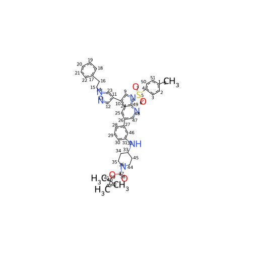 Cc1ccc(S(=O)(=O)n2cc(-c3cnn(CCc4ccccc4)c3)c3cc(-c4cccc(NC5CCN(C(=O)OC(C)(C)C)CC5)c4)cnc32)cc1